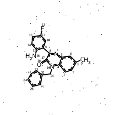 Cc1ccc2c(c1)nc(-c1cc(F)ccc1N)c(=O)n2Cc1ccccc1